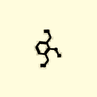 CCOc1c(CO)cccc1CO